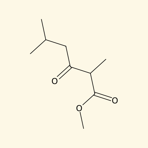 COC(=O)C(C)C(=O)CC(C)C